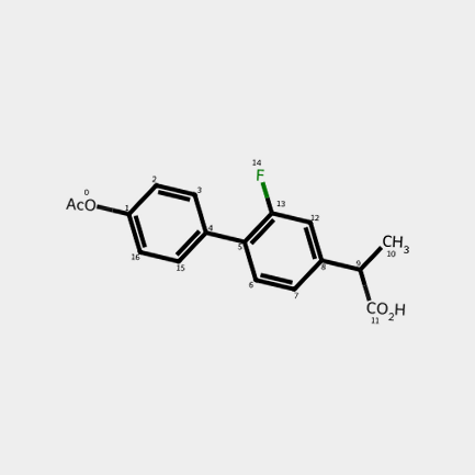 CC(=O)Oc1ccc(-c2ccc(C(C)C(=O)O)cc2F)cc1